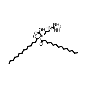 CCCCCCCCCCCCCC(=O)N(C(=O)CCCCCCCCCCCCC)[C@@H](CCCNC(=N)N)C(=O)O